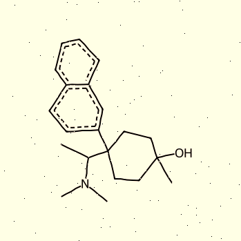 CC(N(C)C)C1(c2ccc3ccccc3c2)CCC(C)(O)CC1